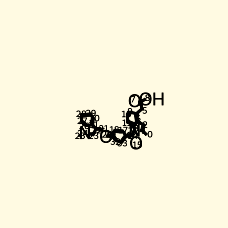 Cc1cc2c(CC(=O)O)cccc2n1C(=O)c1ccc(OCC2CN(C)c3ccccc32)cc1